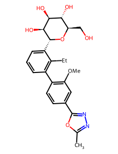 CCc1c(-c2ccc(-c3nnc(C)o3)cc2OC)cccc1[C@H]1O[C@H](CO)[C@@H](O)[C@H](O)[C@@H]1O